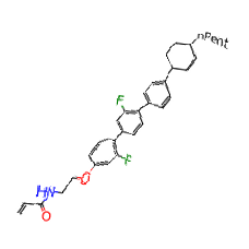 C=CC(=O)NCCOc1ccc(-c2ccc(-c3ccc(C4CCC(CCCCC)CC4)cc3)c(F)c2)c(F)c1